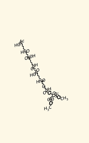 CC(=O)N(O)CCCCCNC(=O)CCC(=O)N(O)CCCCCNC(=O)CCC(=O)N(O)CCCCCNC(=O)CCOCCNC(=O)c1ccc(C(=O)C(C[S+]([O-])c2ccc(C)cc2)CS(=O)(=O)c2ccc(C)cc2)cc1